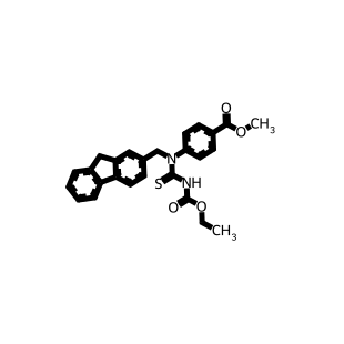 CCOC(=O)NC(=S)N(Cc1ccc2c(c1)Cc1ccccc1-2)c1ccc(C(=O)OC)cc1